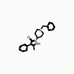 Cc1[nH]n(C2CCN(Cc3ccccc3)CC2)c(=O)c1-c1ccccc1